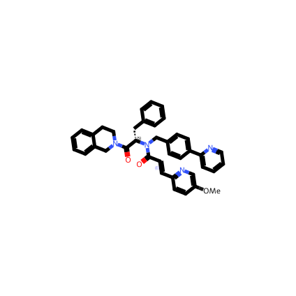 COc1ccc(/C=C/C(=O)N(Cc2ccc(-c3ccccn3)cc2)[C@@H](Cc2ccccc2)C(=O)N2CCc3ccccc3C2)nc1